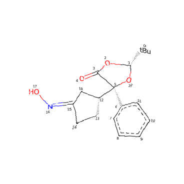 CC(C)(C)[C@H]1OC(=O)[C@](c2ccccc2)([C@@H]2CCC(=NO)C2)O1